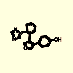 Oc1ccc(-c2cocc2-c2ccccc2-n2cncn2)cc1